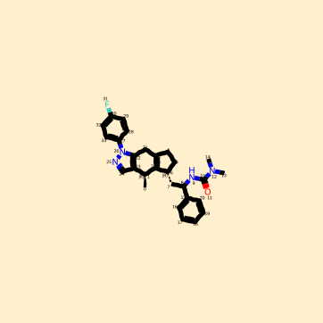 C[C@@H]1C2=C(CC[C@@H]2CC(NC(=O)N(C)C)c2ccccc2)Cc2c1cnn2-c1ccc(F)cc1